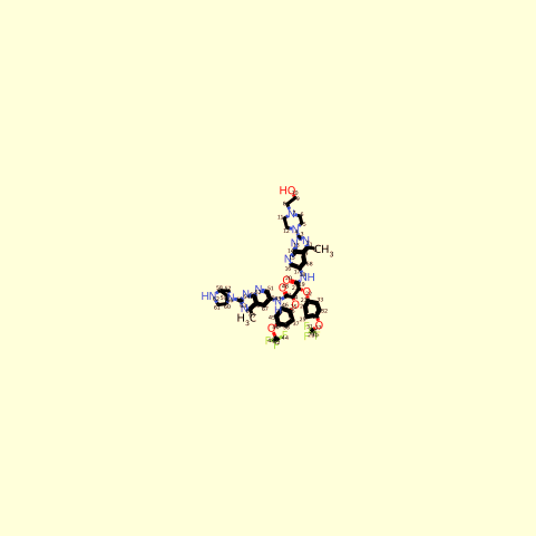 Cc1nc(N2CCN(CCO)CC2)nc2ncc(NC(=O)C(Oc3ccc(OC(F)(F)F)cc3)C(Oc3ccc(OC(F)(F)F)cc3)C(=O)Nc3cnc4nc(N5CC6CC5CN6)nc(C)c4c3)cc12